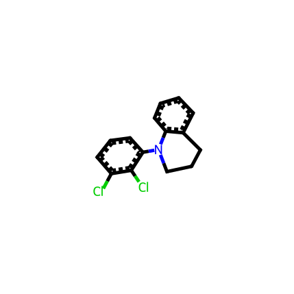 Clc1cccc(N2CCCc3ccccc32)c1Cl